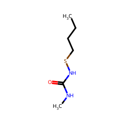 CCCCSNC(=O)NC